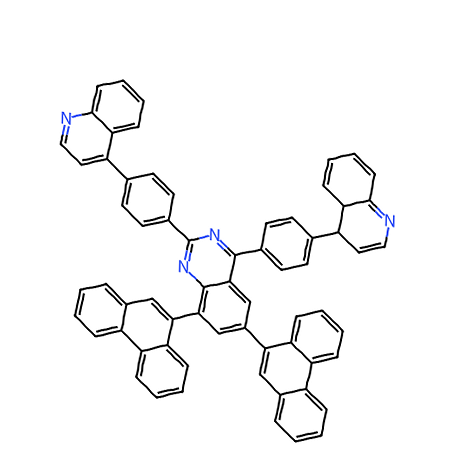 C1=CC2=NC=CC(c3ccc(-c4nc(-c5ccc(-c6ccnc7ccccc67)cc5)nc5c(-c6cc7ccccc7c7ccccc67)cc(-c6cc7ccccc7c7ccccc67)cc45)cc3)C2C=C1